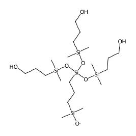 C[Si](C)([O])CCC[Si](O[Si](C)(C)CCCO)(O[Si](C)(C)CCCO)O[Si](C)(C)CCCO